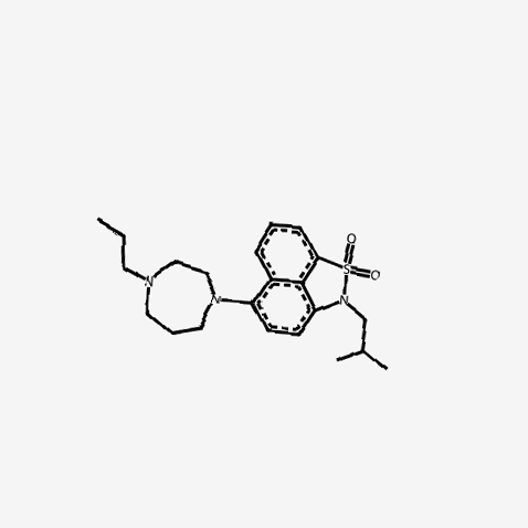 CCCN1CCCN(c2ccc3c4c(cccc24)S(=O)(=O)N3CC(C)C)CC1